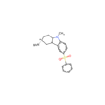 CN[C@@H]1CCC2C(C1)c1cc(S(=O)(=O)c3ccccc3)ccc1N2C